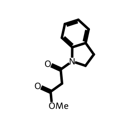 COC(=O)CC(=O)N1CCc2ccccc21